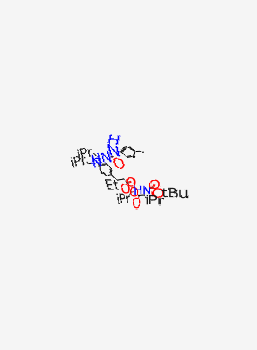 CCC(CC(=O)OC(OC(=O)C(NC(=O)OC(C)(C)C)C(C)C)C(C)C)c1ccc(N(CC(C)C)CC(C)C)c(NC(=O)Nc2ccc(C)cc2)c1